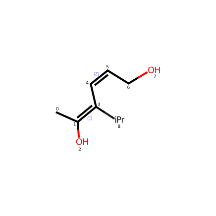 C/C(O)=C(\C=C/CO)C(C)C